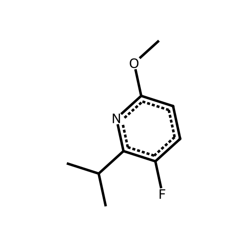 COc1ccc(F)c(C(C)C)n1